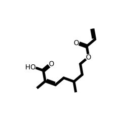 C=CC(=O)OCCC(C)CC=C(C)C(=O)O